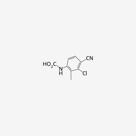 Cc1c(NC(=O)O)ccc(C#N)c1Cl